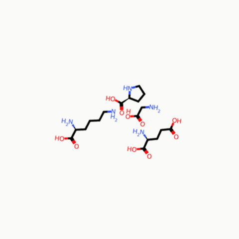 NCC(=O)O.NCCCC[C@H](N)C(=O)O.N[C@@H](CCC(=O)O)C(=O)O.O=C(O)[C@@H]1CCCN1